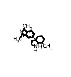 Cc1nn(C)c2cc([C@]34CCCC(C)[C@H]3NCC4)ccc12